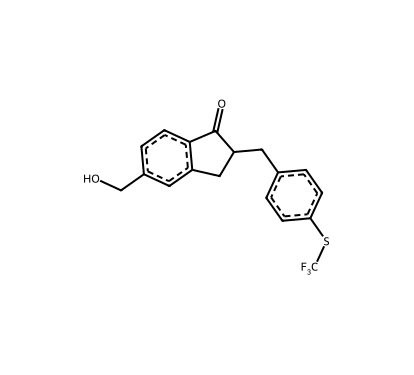 O=C1c2ccc(CO)cc2CC1Cc1ccc(SC(F)(F)F)cc1